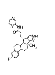 C[C@]12CCC3c4ccc(F)cc4CCC3C1[C@H](CCC(=O)Nc1cnccn1)c1c[nH]nc12